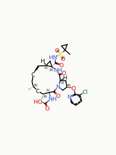 C[C@@H]1CCC=C[C@@H]2C[C@@]2(C(=O)NS(=O)(=O)C2(C)CC2)NC(=O)[C@@H]2C[C@@H](Oc3ncccc3Cl)CN2C(=O)[C@@H](NC(=O)O)[C@H](C)C1